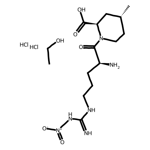 CCO.C[C@@H]1CCN(C(=O)[C@@H](N)CCCNC(=N)N[N+](=O)[O-])[C@@H](C(=O)O)C1.Cl.Cl